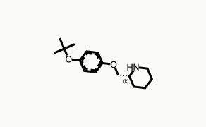 CC(C)(C)Oc1ccc(OC[C@H]2CCCCN2)cc1